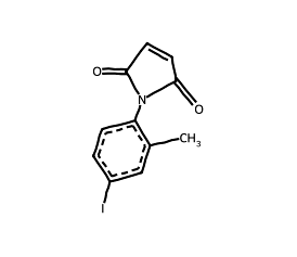 Cc1cc(I)ccc1N1C(=O)C=CC1=O